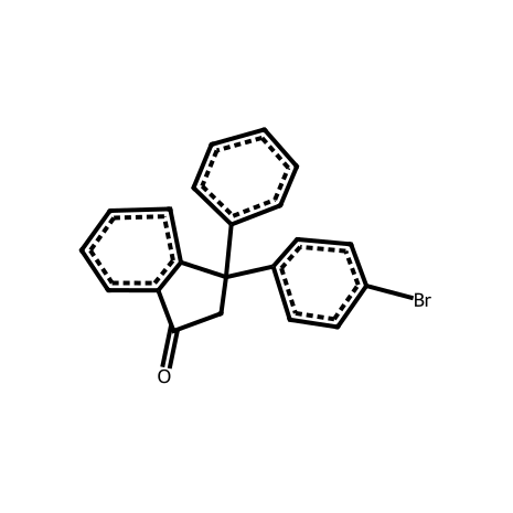 O=C1CC(c2ccccc2)(c2ccc(Br)cc2)c2ccccc21